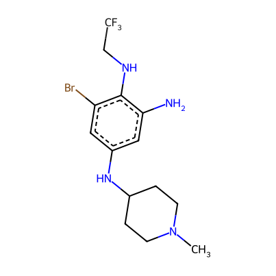 CN1CCC(Nc2cc(N)c(NCC(F)(F)F)c(Br)c2)CC1